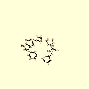 O=C(NCc1ccccc1)N1CCCC(n2cc(-c3ccc4[nH]nc(-c5ccncc5)c4c3)cn2)C1